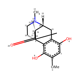 COc1cc(O)c2c(c1O)[C@]13CCN(C)[C@H](C2)[C@@H]1CCC(=O)C3